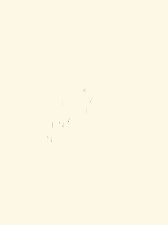 CCCCC[C@H](O)/C=C/[C@@H]1[C@H]2C/C(=C/NCCN(C)C)C[C@H]2C[C@H]1O